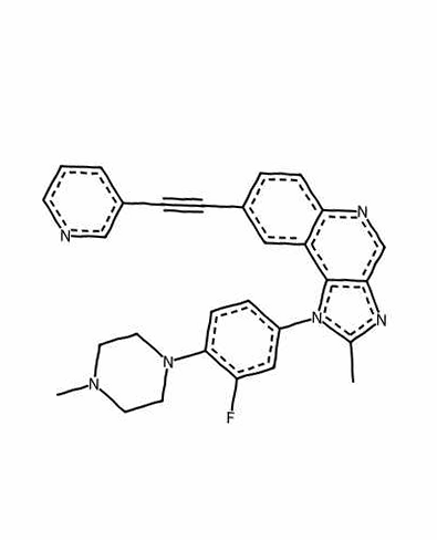 Cc1nc2cnc3ccc(C#Cc4cccnc4)cc3c2n1-c1ccc(N2CCN(C)CC2)c(F)c1